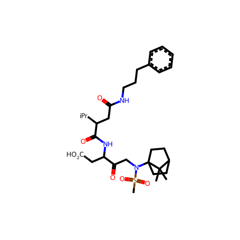 CC(C)C(CC(=O)NCCCc1ccccc1)C(=O)NC(CC(=O)O)C(=O)CN(C12CCC(CC1)C2(C)C)S(C)(=O)=O